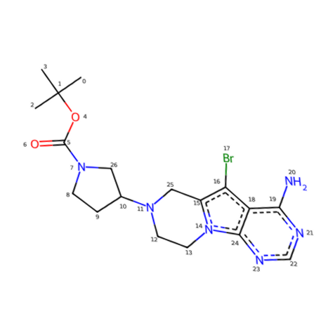 CC(C)(C)OC(=O)N1CCC(N2CCn3c(c(Br)c4c(N)ncnc43)C2)C1